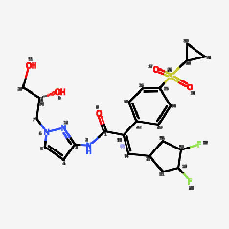 O=C(Nc1ccn(C[C@@H](O)CO)n1)/C(=C/C1CC(F)C(F)C1)c1ccc(S(=O)(=O)C2CC2)cc1